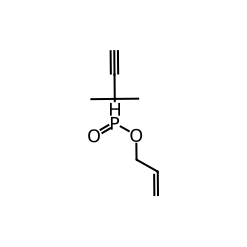 C#CC(C)(C)[PH](=O)OCC=C